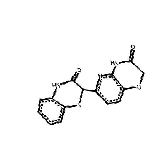 O=C1COc2ccc(C3Sc4cc[c]cc4NC3=O)nc2N1